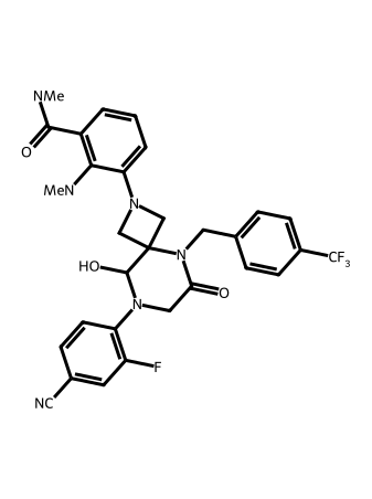 CNC(=O)c1cccc(N2CC3(C2)C(O)N(c2ccc(C#N)cc2F)CC(=O)N3Cc2ccc(C(F)(F)F)cc2)c1NC